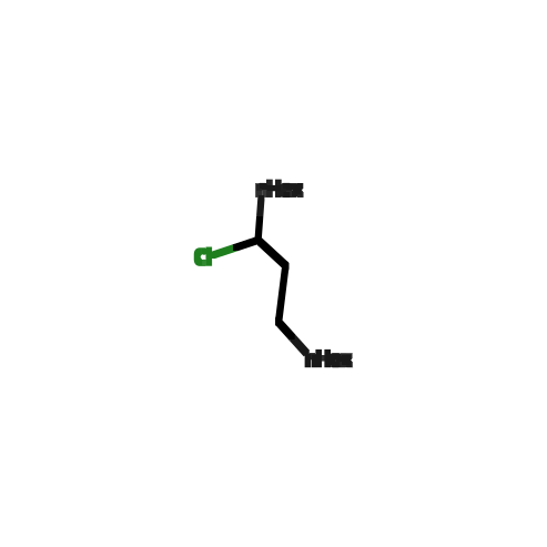 CCCCCCCCC(Cl)CCCCCC